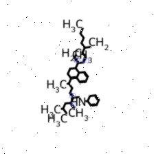 C=CC(CCCCC)C(=C)/C=C\C(=C/C)C1CCC(C(C)C/C=C(CNC2C=CC=CC2)/C(=C/C)CC(C)CC)=C2C=CC=CC21